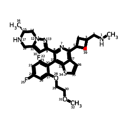 CNCC12CC(c3nc(-c4cc5n(n4)C[C@@H](C)NC5)c(-c4c(F)cc(F)cc4OCCOC)c4sccc34)(C1)C2